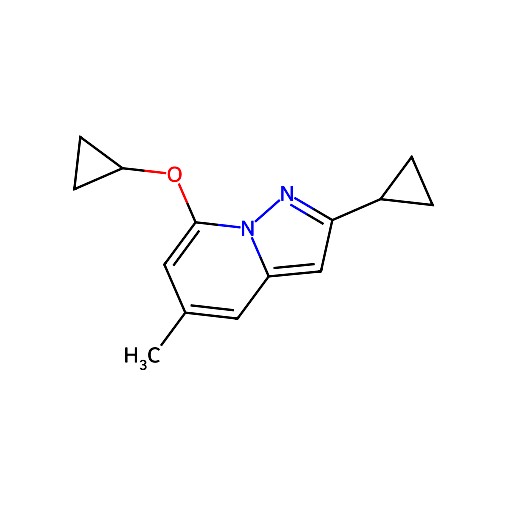 Cc1cc(OC2CC2)n2nc(C3CC3)cc2c1